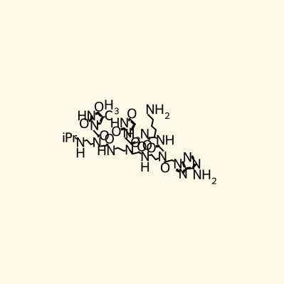 Cc1cn(CC(=O)N(CCNC(C)C)CC(=O)NCCN(CC(=O)NCCN(CC(=O)NC(CCCCN)C(N)=O)C(=O)Cn2cnc3c(N)ncnc32)C(=O)Cn2ccc(=O)[nH]c2=O)c(=O)[nH]c1=O